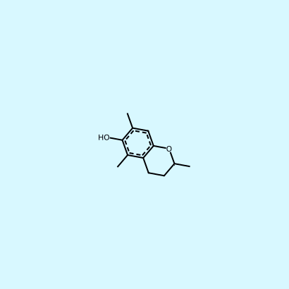 C[C]1CCc2c(cc(C)c(O)c2C)O1